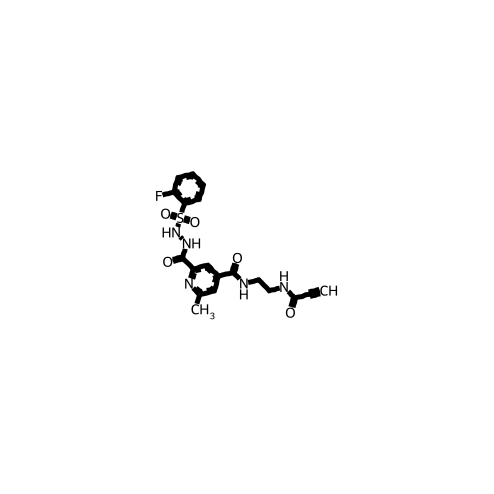 C#CC(=O)NCCNC(=O)c1cc(C)nc(C(=O)NNS(=O)(=O)c2ccccc2F)c1